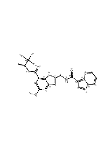 COc1cc(C(=O)OC(C)C(F)(F)F)c2oc(CNC(=O)c3cnn4cccnc34)cc2c1